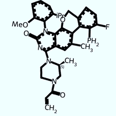 C=CC(=O)N1CCN(c2nc(=O)n(-c3c(OC)cccc3C(C)C)c3c4c(c(C)cc23)-c2c(ccc(F)c2P)CO4)[C@@H](C)C1